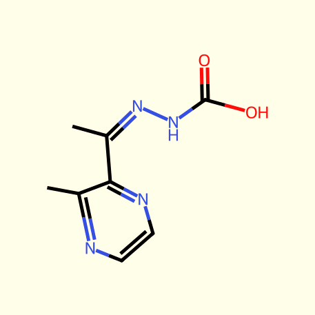 C/C(=N/NC(=O)O)c1nccnc1C